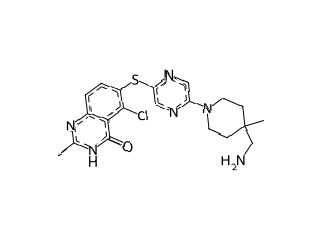 Cc1nc2ccc(Sc3cnc(N4CCC(C)(CN)CC4)cn3)c(Cl)c2c(=O)[nH]1